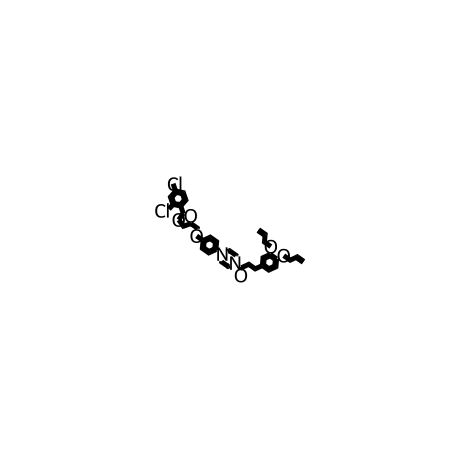 C=CCOc1ccc(CCC(=O)N2CCN(c3ccc(OCC4COC(c5ccc(Cl)cc5Cl)O4)cc3)CC2)cc1OCC=C